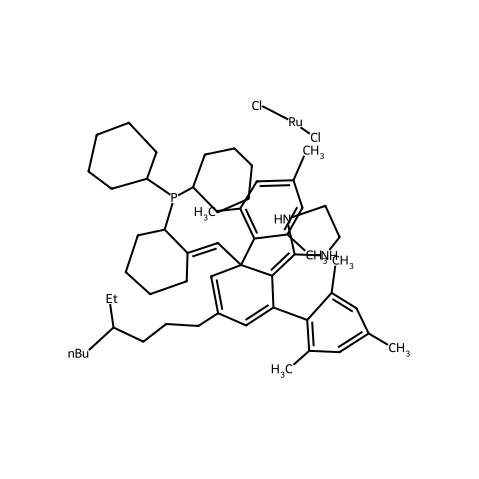 CCCCC(CC)CCCC1=CC(C=C2CCCCC2P(C2CCCCC2)C2CCCCC2)(c2c(C)cc(C)cc2C)C(=C2NCCN2)C(c2c(C)cc(C)cc2C)=C1.[Cl][Ru][Cl]